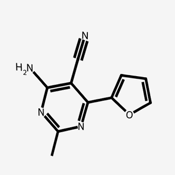 Cc1nc(N)c(C#N)c(-c2ccco2)n1